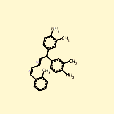 Cc1cc(C(/C=C/C=C\c2ccccc2C)c2ccc(N)c(C)c2)ccc1N